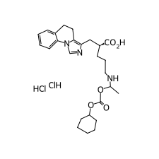 CC(NCCC[C@@H](Cc1ncn2c1CCc1ccccc1-2)C(=O)O)OC(=O)OC1CCCCC1.Cl.Cl